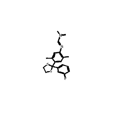 Cc1cc(C2(c3cccc(F)c3)SCCS2)c(C)cc1N=CN(C)C